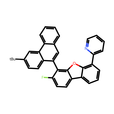 CC(C)(C)c1ccc2c(-c3c(F)ccc4c3oc3c(-c5ccccn5)cccc34)cc3ccccc3c2c1